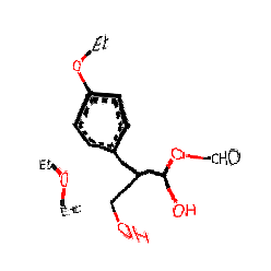 CCOCC.CCOc1ccc(C(CO)C(O)OC=O)cc1